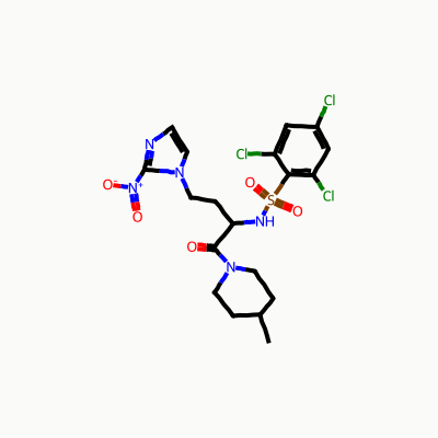 CC1CCN(C(=O)C(CCn2ccnc2[N+](=O)[O-])NS(=O)(=O)c2c(Cl)cc(Cl)cc2Cl)CC1